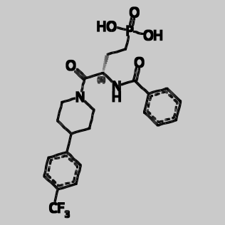 O=C(N[C@@H](CCP(=O)(O)O)C(=O)N1CCC(c2ccc(C(F)(F)F)cc2)CC1)c1ccccc1